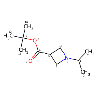 CC(C)N1CC(C(=O)OC(C)(C)C)C1